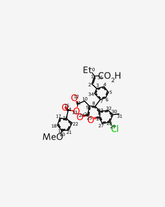 CCC(=Cc1cccc(-c2c(CC(=O)OC(=O)c3ccc(OC)cc3)c(=O)oc3cc(Cl)c(C)cc23)c1)C(=O)O